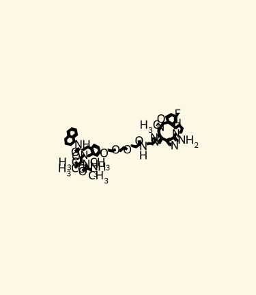 CN[C@@H](C)C(=O)N[C@H](C(=O)N1Cc2cc(OCCOCCOCCC(=O)NCCn3cc4c(n3)CN(C)C(=O)c3ccc(F)cc3[C@H]3CCCN3c3cc-4cnc3N)ccc2C[C@H]1C(=O)N[C@@H]1CCCc2ccccc21)C(C)(C)C